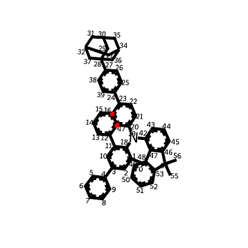 Cc1cc(-c2ccccc2)cc(-c2ccccc2)c1N(c1ccc(-c2ccc(C34CC5CC(CC(C5)C3)C4)cc2)cc1)c1cccc2c1-c1ccccc1C2(C)C